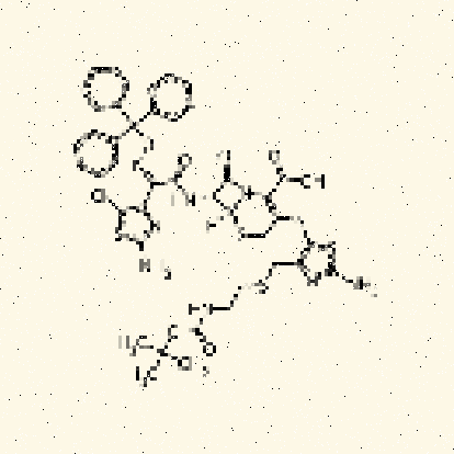 CC(C)(C)OC(=O)NCCSCc1nc(N)sc1SC1=C(C(=O)O)N2C(=O)[C@@H](NC(=O)/C(=N\OC(c3ccccc3)(c3ccccc3)c3ccccc3)c3nc(N)sc3Cl)[C@@H]2SC1